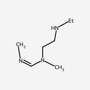 CCNCCN(C)/C=N\C